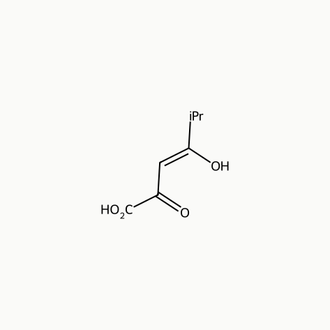 CC(C)C(O)=CC(=O)C(=O)O